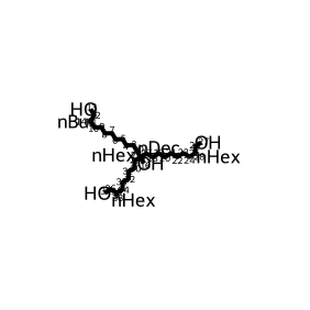 CCCCCCCCCCC(CCCCCC)(CCCCCCCCC(CO)CCCC)C(O)(CCCCCCCCC(CO)CCCCCC)CCCCCCC(CO)CCCCCC